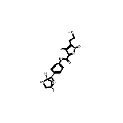 CCCc1c(Cl)c(C(=O)Nc2ccc([C@H]3O[C@@H]4CN[C@H]3C4)cc2)nn1C